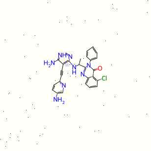 C=N/C(NC(C)c1nc2cccc(Cl)c2c(=O)n1-c1ccccc1)=C(/C#Cc1ccc(N)cn1)C(=N)N